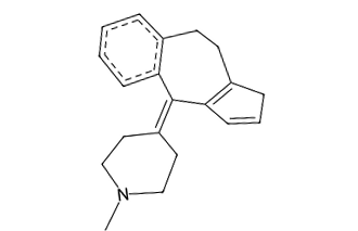 CN1CCC(=C2C3=C(CC=C3)CCc3ccccc32)CC1